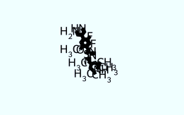 COc1cc(/C(C=N)=C/N)c(F)c(F)c1-c1nnc(N(C)C2CC(C)(C)NC(C)(C)C2)s1